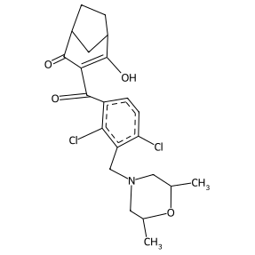 CC1CN(Cc2c(Cl)ccc(C(=O)C3=C(O)C4CCC(C4)C3=O)c2Cl)CC(C)O1